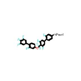 CCCCCc1ccc(-c2cc(F)c(C(F)(F)Oc3ccc(-c4cc(F)c(F)c(F)c4)c(F)c3)c(F)c2)c(F)c1